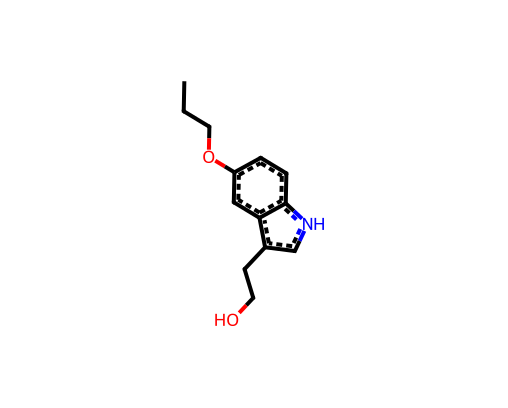 CCCOc1ccc2[nH]cc(CCO)c2c1